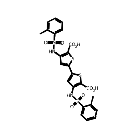 Cc1ccccc1S(=O)(=O)Nc1cc(-c2cc(NS(=O)(=O)c3ccccc3C)c(C(=O)O)s2)sc1C(=O)O